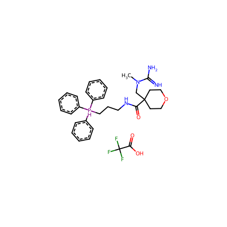 CN(CC1(C(=O)NCCC[PH](c2ccccc2)(c2ccccc2)c2ccccc2)CCOCC1)C(=N)N.O=C(O)C(F)(F)F